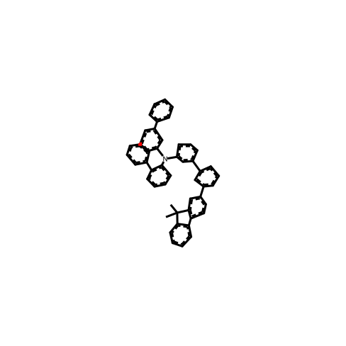 CC1(C)c2ccccc2-c2ccc(-c3cccc(-c4cccc(N(c5cccc(-c6ccccc6)c5)c5ccccc5-c5ccccc5)c4)c3)cc21